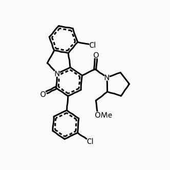 COCC1CCCN1C(=O)c1cc(-c2cccc(Cl)c2)c(=O)n2c1-c1c(Cl)cccc1C2